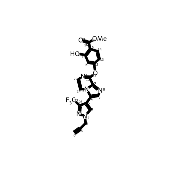 C#CCn1cc(-c2cnc3c(Oc4ccc(C(=O)OC)c(O)c4)nccn23)c(C(F)(F)F)n1